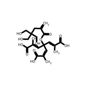 C=C(CC(CO)(CO)CO)C(=O)OC(C=C(C)C(=O)O)(C=C(C)C(=O)O)C=C(C)C(=O)O